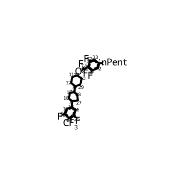 CCCCCc1cc(F)c(C(F)(F)OC2CCC(C3CCC(c4cc(F)c(C(F)(F)F)c(F)c4)CC3)CC2)c(F)c1